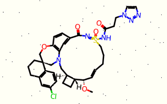 CO[C@H]1/C=C/CCCS(=O)(NC(=O)CCn2ccnn2)=NC(=O)c2ccc3c(c2)N(C[C@@H]2CC[C@H]21)C[C@@]1(CCCc2cc(Cl)ccc21)CO3